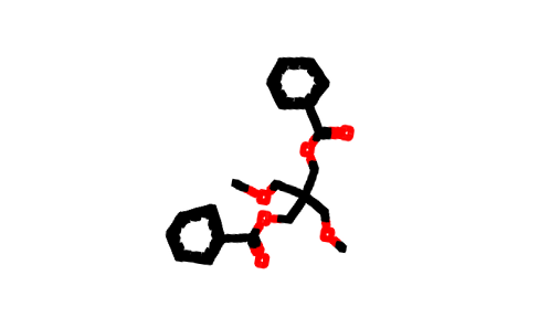 COCC(COC)(COC(=O)c1ccccc1)COC(=O)c1ccccc1